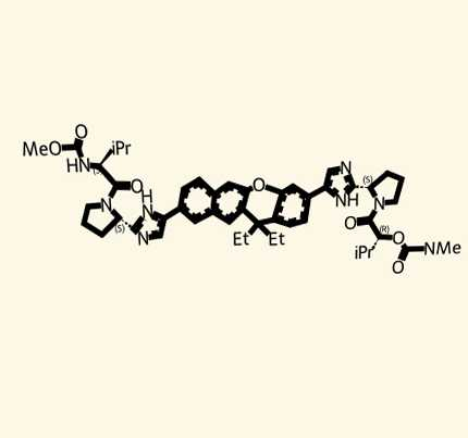 CCC1(CC)c2ccc(-c3cnc([C@@H]4CCCN4C(=O)[C@H](OC(=O)NC)C(C)C)[nH]3)cc2Oc2cc3ccc(-c4cnc([C@@H]5CCCN5C(=O)[C@@H](NC(=O)OC)C(C)C)[nH]4)cc3cc21